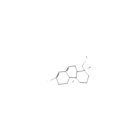 CC(C)C1=CC2=CCC3[C@](C)(CNI)CCC[C@]3(C)C2CC1